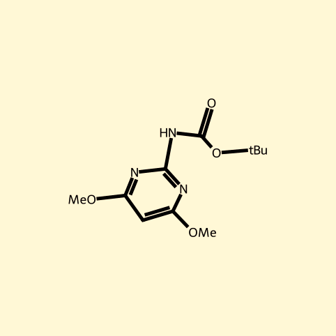 COc1cc(OC)nc(NC(=O)OC(C)(C)C)n1